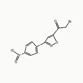 O=C(CBr)c1cc(-c2ccc([N+](=O)[O-])cc2)no1